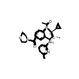 CC(=O)N1c2ccc(C(=O)N3CCOCC3)cc2[C@H](Nc2cccc(C)n2)[C@@H](C)[C@@H]1C1CC1